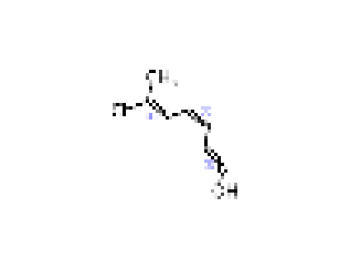 C\C(Cl)=C/C=C\C=N\O